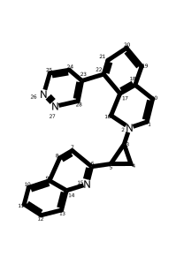 C1=CN(C2CC2c2ccc3ccccc3n2)Cc2c1cccc2-c1ccnnc1